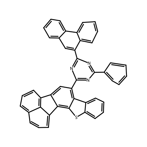 c1ccc(-c2nc(-c3cc4ccccc4c4ccccc34)nc(-c3cc4c(c5sc6ccccc6c35)-c3cccc5cccc-4c35)n2)cc1